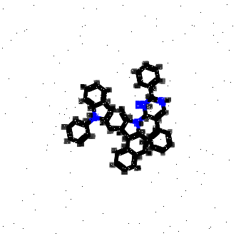 C1=C(c2ccccc2)C(n2c3cc4c5ccccc5n(-c5ccccc5)c4cc3c3c4ccccc4ccc32)NC(c2ccccc2)=N1